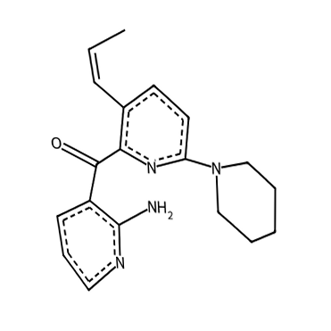 C/C=C\c1ccc(N2CCCCC2)nc1C(=O)c1cccnc1N